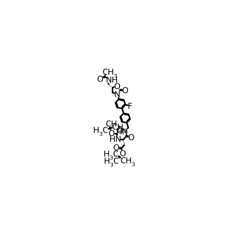 CC(=O)NC[C@H]1CN(c2ccc(-c3ccc(CNC(=O)[C@H](CC(=O)OC(C)(C)C)NC(=O)OC(C)(C)C)cc3)c(F)c2)C(=O)O1